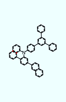 c1ccc(-c2cc(-c3ccccc3)cc(-c3ccc(N(c4ccccc4)c4cc(-c5ccc6ccccc6c5)ccc4-c4ccccc4)cc3)c2)cc1